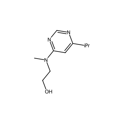 CC(C)c1cc(N(C)CCO)ncn1